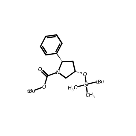 CC(C)(C)OC(=O)N1C[C@@H](O[Si](C)(C)C(C)(C)C)C[C@H]1c1ccccc1